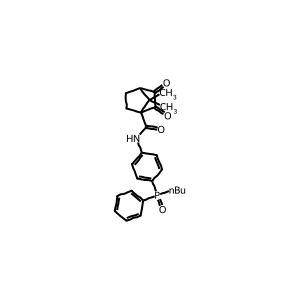 CCCCP(=O)(c1ccccc1)c1ccc(NC(=O)C23CCC(C(=O)C2=O)C3(C)C)cc1